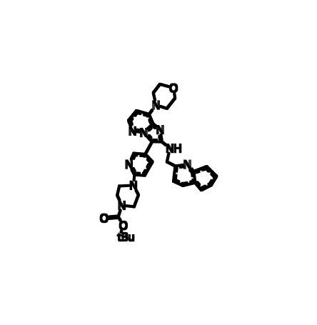 CC(C)(C)OC(=O)N1CCN(c2ccc(-c3c(NCc4ccc5ccccc5n4)nc4c(N5CCOCC5)ccnn34)cn2)CC1